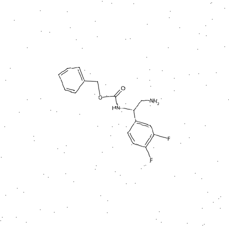 NCC(NC(=O)OCc1ccccc1)c1ccc(F)c(F)c1